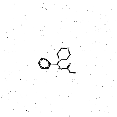 CCC(=O)NC(c1ccccc1)N1CCOCC1